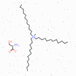 CCCCCCCCCCCC[N+](C)(CCCCCCCCCCCC)CCCCCCCCCCCC.N[C@@H](CO)C(=O)[O-]